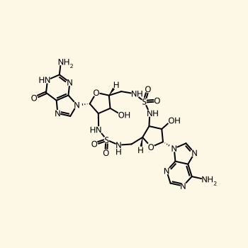 Nc1nc2c(ncn2[C@@H]2O[C@@H]3CNS(=O)(=O)NC4C(O)[C@H](n5cnc6c(N)ncnc65)O[C@@H]4CNS(=O)(=O)NC2C3O)c(=O)[nH]1